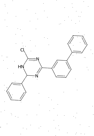 ClC1=NC(c2cccc(-c3ccccc3)c2)=NC(c2ccccc2)N1